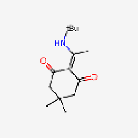 CC(NC(C)(C)C)=C1C(=O)CC(C)(C)CC1=O